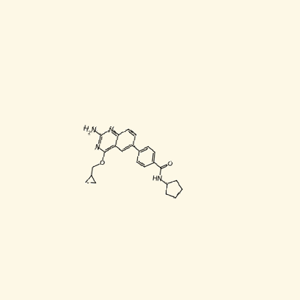 Nc1nc(OCC2CC2)c2cc(-c3ccc(C(=O)NC4CCCC4)cc3)ccc2n1